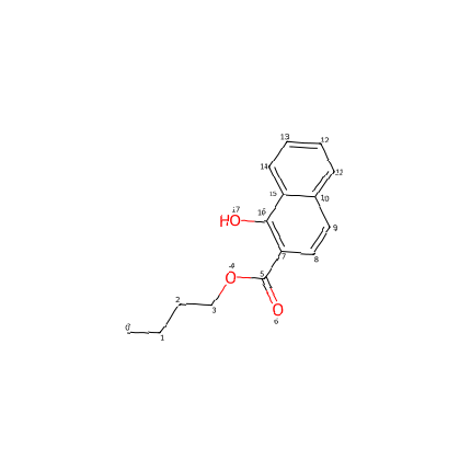 CCCCOC(=O)c1ccc2ccccc2c1O